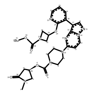 CN1C[C@H](OC(=O)N2CCN(c3ccn4ncc(-c5cccnc5OC5CN(C(=O)OC(C)(C)C)C5)c4n3)CC2)CC1=O